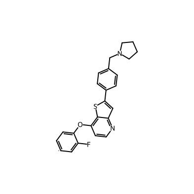 Fc1c[c]ccc1Oc1ccnc2cc(-c3ccc(CN4CCCC4)cc3)sc12